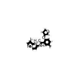 CC(Nc1ccn2ncc(I)c2n1)c1cc(F)ccc1OC1CCOC1